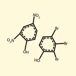 O=[N+]([O-])c1ccc(O)c([N+](=O)[O-])c1.Oc1ccc(Br)c(Br)c1Br